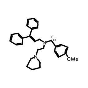 COc1ccc([C@@H](C)N(CC=C(c2ccccc2)c2ccccc2)CCN2CCCCC2)cc1